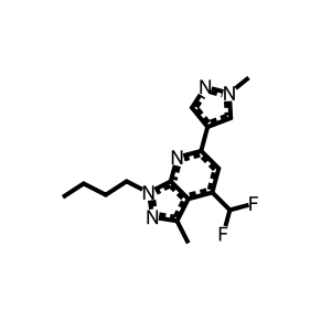 CCCCn1nc(C)c2c(C(F)F)cc(-c3cnn(C)c3)nc21